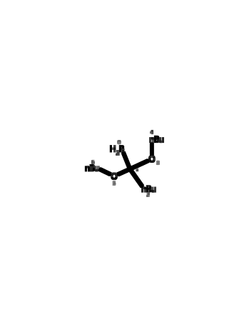 BC(CCCC)(OCCCC)OCCCC